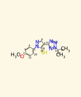 COc1ccc(-n2ncc(-c3nnn(C(C)C)n3)c2S)cc1